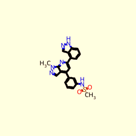 Cn1ncc2c(-c3cccc(NS(C)(=O)=O)c3)cc(-c3cccc4[nH]ncc34)nc21